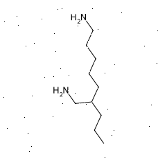 CCCC(CN)CCCCCN